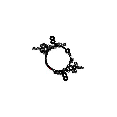 CN[C@@H](C)C(=O)N[C@H](C(=O)N1C[C@]2(N)C[C@H]1C(=O)N[C@@H](Cc1ccc3ccccc3c1)C(=O)N[C@H](C=O)Cc1ccc(cc1)OCc1cn(nn1)C1CC(C(=O)N[C@@H](Cc3ccc4ccccc4c3)C(=O)N[C@H](C(=O)O)Cc3ccc(cc3)OCCCCO2)N(C(=O)[C@@H](N(N)C(=O)[C@H](C)NC)C(C)(C)C)C1)C(C)(C)C